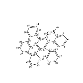 CSc1ccccc1-c1c(Cl)c(-c2ccccc2)c(-c2ccccc2)c(-c2ccccc2)c1-c1ccccc1